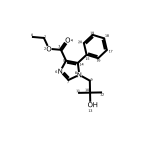 CCOC(=O)c1ncn(CC(C)(C)O)c1-c1ccccc1